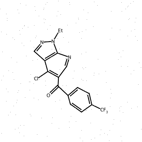 CCn1ncc2c(Cl)c(C(=O)c3ccc(C(F)(F)F)cc3)cnc21